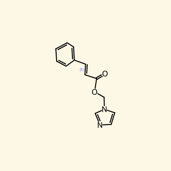 O=C(/C=C/c1ccccc1)OCn1ccnc1